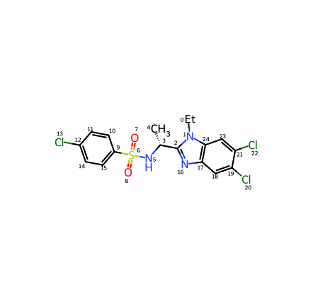 CCn1c([C@@H](C)NS(=O)(=O)c2ccc(Cl)cc2)nc2cc(Cl)c(Cl)cc21